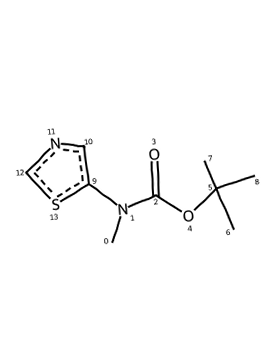 CN(C(=O)OC(C)(C)C)c1cncs1